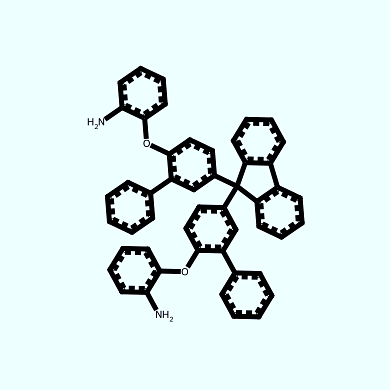 Nc1ccccc1Oc1ccc(C2(c3ccc(Oc4ccccc4N)c(-c4ccccc4)c3)c3ccccc3-c3ccccc32)cc1-c1ccccc1